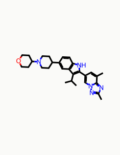 Cc1nc2c(C)cc(-c3[nH]c4ccc(C5CCN(C6CCOCC6)CC5)cc4c3C(C)C)cn2n1